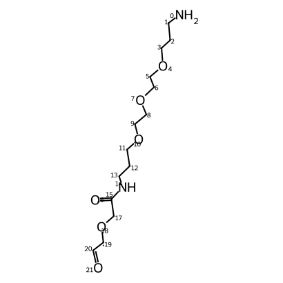 NCCCOCCOCCOCCCNC(=O)CO[CH]C=O